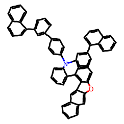 c1cc(-c2ccc(N(c3cccc(-c4cccc5ccccc45)c3)c3ccccc3-c3cccc4oc5cc6ccccc6cc5c34)cc2)cc(-c2cccc3ccccc23)c1